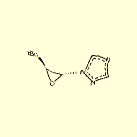 CC(C)(C)[C@@H]1O[C@H]1n1cncn1